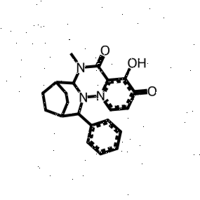 CN1C(=O)c2c(O)c(=O)ccn2N2C(c3ccccc3)C3CCC(CC3)C12